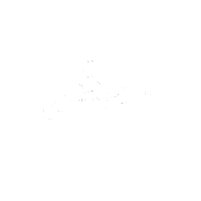 Cc1ccc(S(=O)(=O)Nc2nc3ccccc3nc2Nc2ccc3c(c2)OCO3)cc1